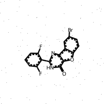 O=c1[nH]c(-c2c(F)cccc2F)nc2c1oc1ccc(Br)cc12